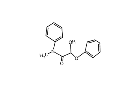 CN(C(=O)C(O)Oc1ccccc1)c1ccccc1